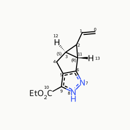 C=CC1[C@@H]2Cc3c(n[nH]c3C(=O)OCC)[C@@H]12